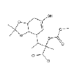 COC(=O)OC(C)(C(Cl)Cl)C(C)C1C=C(O)CC2OC(C)(C)OC21